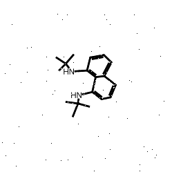 CC(C)(C)Nc1cccc2cccc(NC(C)(C)C)c12